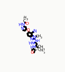 CC(=O)Nc1cc(Oc2ccc3nc(NC(=N)/C=C(\N[C@@H]4CCOC4)C(C)(C)C)n(C)c3c2C#N)ccn1